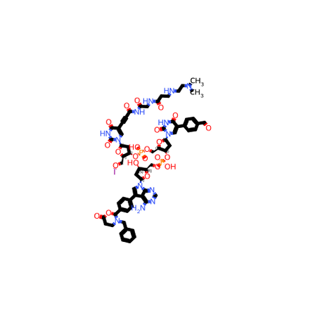 CN(C)CCNCCC(=O)NCC(=O)NC(=O)C#Cc1cn([C@H]2C[C@H](OP(=O)(O)OC[C@H]3O[C@@H](n4cc(-c5ccc(C=O)cc5)c(=O)[nH]c4=O)C[C@@H]3OP(=O)(O)OC[C@H]3O[C@@H](n4cc(-c5ccc(C6OC(=O)CCN6Cc6ccccc6)cc5)c5c(N)ncnc54)C[C@@H]3O)[C@@H](COI)O2)c(=O)[nH]c1=O